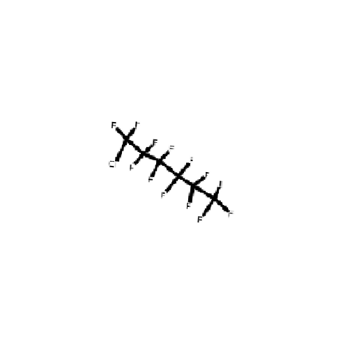 FC(F)(Cl)C(F)(F)C(F)(F)C(F)(F)C(F)(F)C(F)(F)I